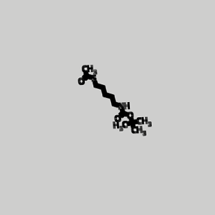 CC(=O)SCCCCCNC(=O)OC(C)(C)C